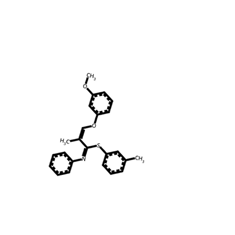 COc1cccc(OC=C(C)C(=Nc2ccccc2)Sc2cccc(C)c2)c1